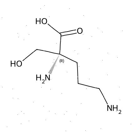 NCCC[C@@](N)(CO)C(=O)O